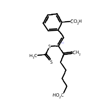 C=C(CCCCC(=O)O)/C(=C/c1ccccc1C(=O)O)SC(C)=S